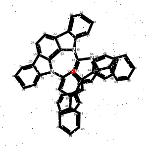 C1=CCC(c2cc(-c3ccccc3)nc(-n3c4ccccc4c4ccc5c6ccccc6n(-c6cc(-c7ccccc7)cc(-c7ccccc7)c6)c5c43)n2)C=C1